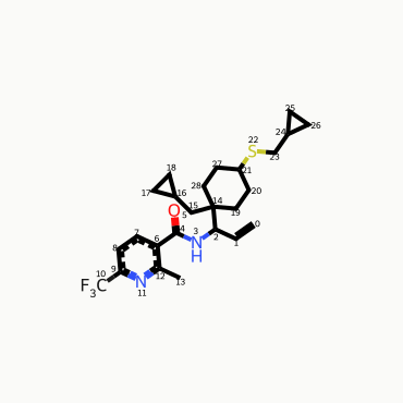 C=CC(NC(=O)c1ccc(C(F)(F)F)nc1C)C1(CC2CC2)CCC(SCC2CC2)CC1